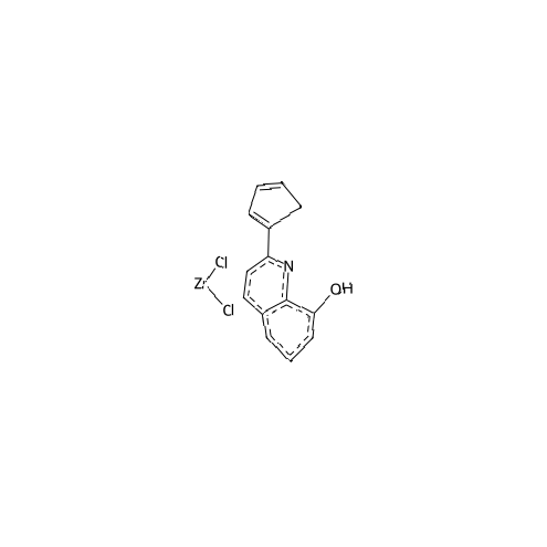 Oc1cccc2ccc(C3=CC=CC3)nc12.[Cl][Zr][Cl]